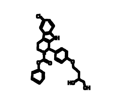 O=C(Oc1ccccc1)N1CCc2c([nH]c3ccc(Cl)cc23)C1c1ccc(OCCC(O)CO)cc1